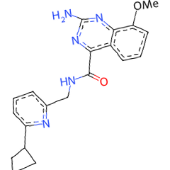 COc1cccc2c(C(=O)NCc3cccc(C4CCC4)n3)nc(N)nc12